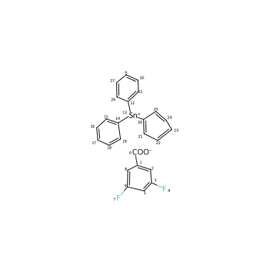 O=C([O-])c1cc(F)cc(F)c1.c1cc[c]([Sn+]([c]2ccccc2)[c]2ccccc2)cc1